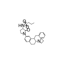 CCCS(=O)(=O)NC1CCN(c2ccc3c(c2)C(Cc2ccccc2)C(N2CCC2)CC3)C1=O